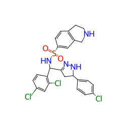 O=S(=O)(NC(C1=NNC(c2ccc(Cl)cc2)C1)c1ccc(Cl)cc1Cl)c1ccc2c(c1)CNCC2